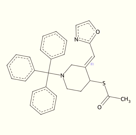 CC(=O)SC1CCN(C(c2ccccc2)(c2ccccc2)c2ccccc2)C/C1=C\c1ncco1